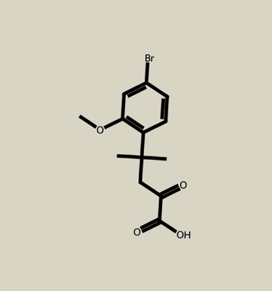 COc1cc(Br)ccc1C(C)(C)CC(=O)C(=O)O